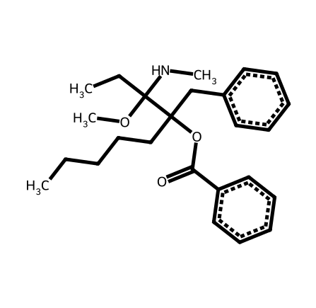 CCCCCC(Cc1ccccc1)(OC(=O)c1ccccc1)C(CC)(NC)OC